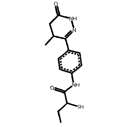 CCC(S)C(=O)Nc1ccc(C2=NNC(=O)CC2C)cc1